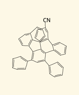 N#Cc1cccc(-c2ccccc2-c2c(-c3ccccc3)cc(-c3ccccc3)c3c2-c2cccc4cccc-3c24)c1